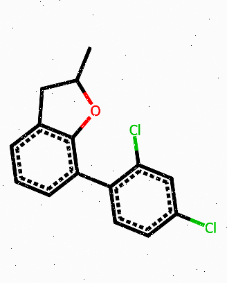 CC1Cc2cccc(-c3ccc(Cl)cc3Cl)c2O1